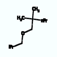 CCCC(C)(C)COCC(C)C